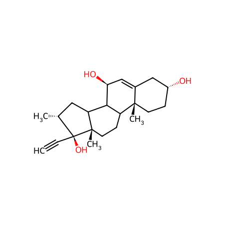 C#C[C@]1(O)[C@H](C)CC2C3C(CC[C@@]21C)[C@@]1(C)CC[C@@H](O)CC1=C[C@@H]3O